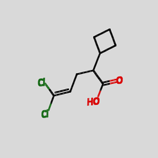 O=C(O)C(CC=C(Cl)Cl)C1CCC1